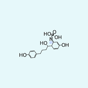 O=P(O)(O)/N=C1\C=C(O)C=CC1C(O)CCCc1ccc(O)cc1